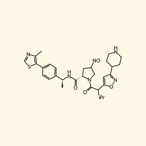 Cc1ncsc1-c1ccc([C@H](C)NC(=O)[C@@H]2CC(N=O)CN2C(=O)C(c2cc(C3CCNCC3)no2)C(C)C)cc1